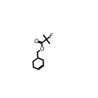 CC(C)(F)C(=O)OCC1CC=CCC1